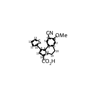 COc1cc2c(cc1C#N)-c1c(-c3cccs3)cc(C(=O)O)n1CC2